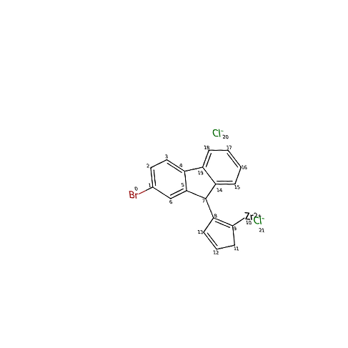 Brc1ccc2c(c1)C(C1=[C]([Zr+2])CC=C1)c1ccccc1-2.[Cl-].[Cl-]